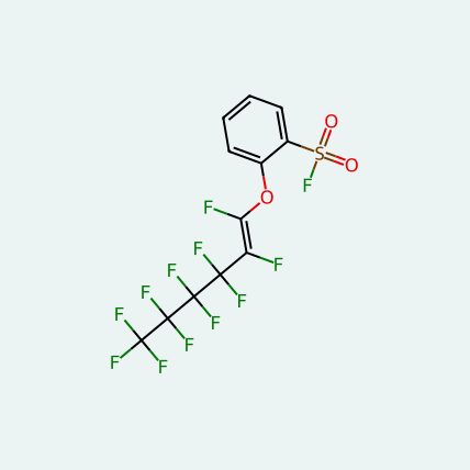 O=S(=O)(F)c1ccccc1OC(F)=C(F)C(F)(F)C(F)(F)C(F)(F)C(F)(F)F